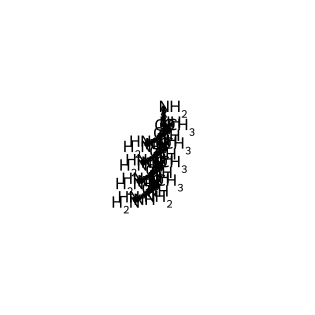 COc1ccc(NC(=O)[C@@H](CCCNC(=N)N)NC(=O)c2cc(NC(=O)[C@@H](CCCNC(=N)N)NC(=O)c3cc(NC(=O)[C@@H](CCCNC(=N)N)NC(=O)c4cc(NC(=O)[C@H](N)CCCNC(=N)N)ccc4OC)ccc3OC)ccc2OC)cc1C(=O)NCCCCCN